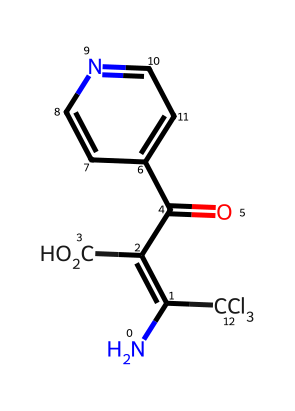 N/C(=C(\C(=O)O)C(=O)c1ccncc1)C(Cl)(Cl)Cl